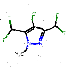 Cn1nc(C(F)F)c(Cl)c1C(F)F